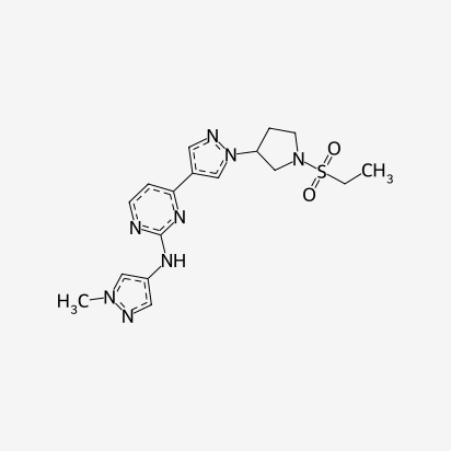 CCS(=O)(=O)N1CCC(n2cc(-c3ccnc(Nc4cnn(C)c4)n3)cn2)C1